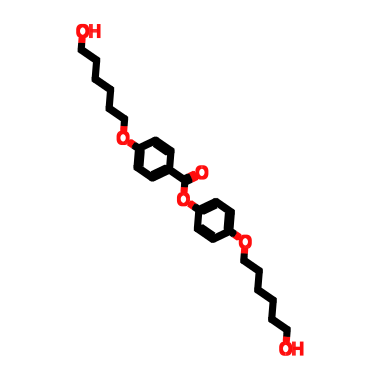 O=C(Oc1ccc(OCCCCCCO)cc1)c1ccc(OCCCCCCO)cc1